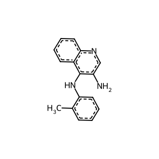 Cc1ccccc1Nc1c(N)cnc2ccccc12